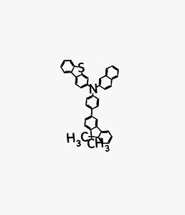 CC1(C)c2ccccc2-c2cc(-c3ccc(N(c4ccc5ccccc5c4)c4ccc5c(c4)sc4ccccc45)cc3)ccc21